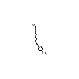 CC(=O)CCCCCCCCC#Cc1ccc(C)cc1